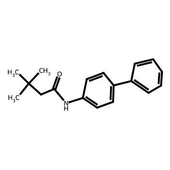 CC(C)(C)CC(=O)Nc1ccc(-c2ccccc2)cc1